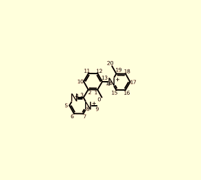 Cc1c(-c2nccc[n+]2C)cccc1-[n+]1ccccc1C